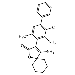 Cc1cc(-c2ccccc2)c(Cl)c(N)c1C1=C(N)C2(CCCCC2)OC1=O